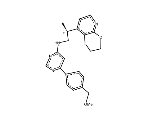 COCc1ccc(-c2cc(NC[C@@H](C)c3ccnc4c3OCCO4)ncn2)cc1